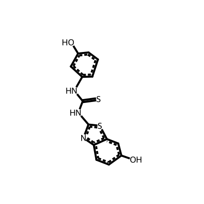 Oc1cccc(NC(=S)Nc2nc3ccc(O)cc3s2)c1